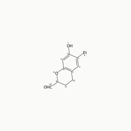 CCc1cc2c(cc1O)OC(C=O)CC2